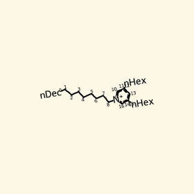 CCCCCCCCCCCCCCCCCC[n+]1cc(CCCCCC)cc(CCCCCC)c1